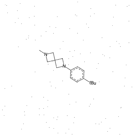 CN1CC2(C1)CN(c1ccc(C(C)(C)C)cc1)C2